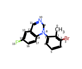 Cc1c(Br)cccc1N1CN=Cc2cc(F)ccc21